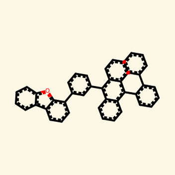 c1ccc(-c2ccccc2-c2c3ccccc3c(-c3cccc(-c4cccc5c4oc4ccccc45)c3)c3ccccc23)cc1